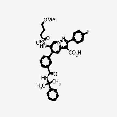 COCCCS(=O)(=O)Nc1cn2nc(-c3ccc(F)cc3)c(C(=O)O)c2cc1-c1cccc(C(=O)NC(C)(C)c2ccccc2)c1